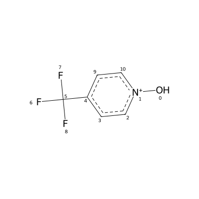 O[n+]1ccc(C(F)(F)F)cc1